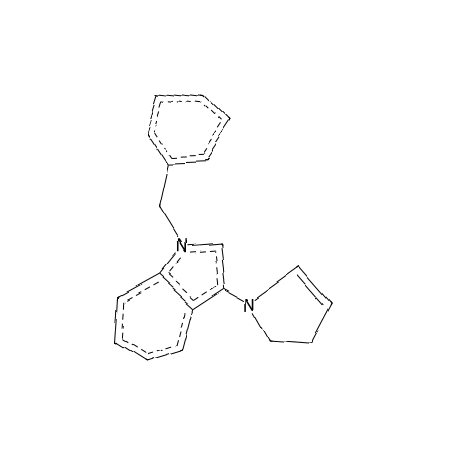 C1=CN(c2cn(Cc3ccccc3)c3ccccc23)CC1